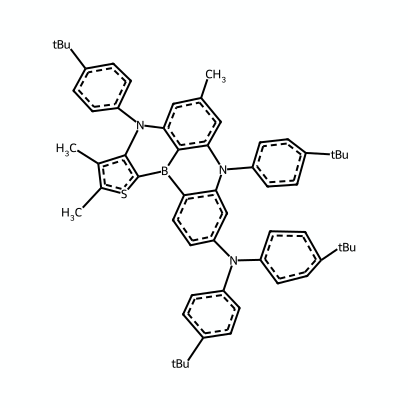 Cc1cc2c3c(c1)N(c1ccc(C(C)(C)C)cc1)c1c(sc(C)c1C)B3c1ccc(N(c3ccc(C(C)(C)C)cc3)c3ccc(C(C)(C)C)cc3)cc1N2c1ccc(C(C)(C)C)cc1